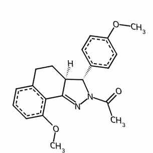 COc1ccc([C@H]2[C@@H]3CCc4cccc(OC)c4C3=NN2C(C)=O)cc1